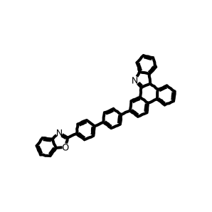 c1ccc2c(c1)N=C1c3cc(-c4ccc(-c5ccc(-c6nc7ccccc7o6)cc5)cc4)ccc3-c3ccccc3C12